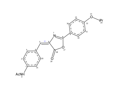 CC(=O)Nc1ccc(/C=C2/N=C(c3ccc(OC(C)C)cc3)OC2=O)cc1